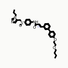 CCCCOCCOc1ccc(-c2cccc(/C=C/C(=O)Nc3ccc([S+]([O-])Cc4cncn4CCC)cc3)c2)cc1